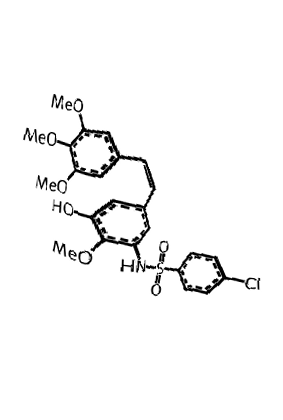 COc1cc(/C=C\c2cc(O)c(OC)c(NS(=O)(=O)c3ccc(Cl)cc3)c2)cc(OC)c1OC